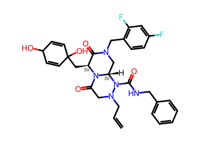 C=CCN1CC(=O)N2[C@@H](CC3(O)C=CC(O)C=C3)C(=O)N(Cc3ccc(F)cc3F)C[C@@H]2N1C(=O)NCc1ccccc1